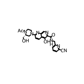 CC(=O)N1CCN(c2ccc3c(O)c(C(=O)NCc4cccc(C#N)n4)ncc3n2)C[C@@H]1CO